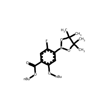 CCCCOC(=O)c1cc(F)c(B2OC(C)(C)C(C)(C)O2)cc1OCCCC